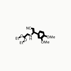 CCOC(CNC(=CC#N)c1ccc(OC)c(OC)c1)OCC